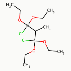 CCO[Si](Cl)(OCC)C(C)[Si](Cl)(OCC)OCC